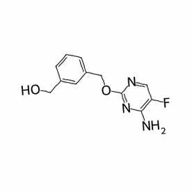 Nc1nc(OCc2cccc(CO)c2)ncc1F